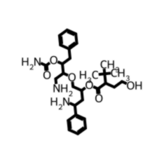 CC(C)(C)C(CCO)C(=O)OC(COC(CN)C(Cc1ccccc1)OC(N)=O)CC(N)c1ccccc1